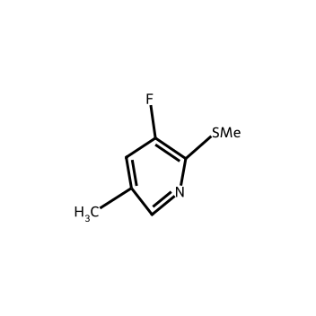 CSc1ncc(C)cc1F